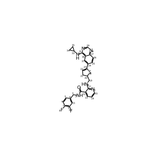 O=C(NCc1ccc(F)c(F)c1)c1cccnc1NCC1CC=C(c2ccc3ncnc(NC4CC4)c3c2)S1